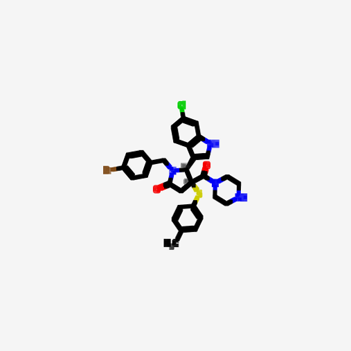 Cc1ccc(S[C@@]2(C(=O)N3CCNCC3)CC(=O)N(Cc3ccc(Br)cc3)[C@H]2c2c[nH]c3cc(Cl)ccc23)cc1